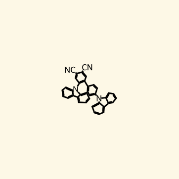 N#Cc1cc(-c2ccc(-n3c4ccccc4c4ccccc43)cc2)c(-n2c3ccccc3c3ccccc32)cc1C#N